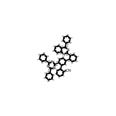 N#Cc1ccccc1-c1cc(-c2ccccc2-c2nc(-c3ccccc3)c3ccccc3n2)ccc1-c1nc(-c2ccccc2)nc(-c2ccccc2)n1